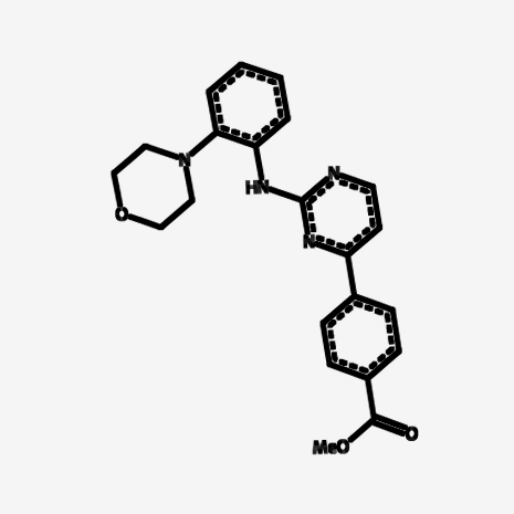 COC(=O)c1ccc(-c2ccnc(Nc3ccccc3N3CCOCC3)n2)cc1